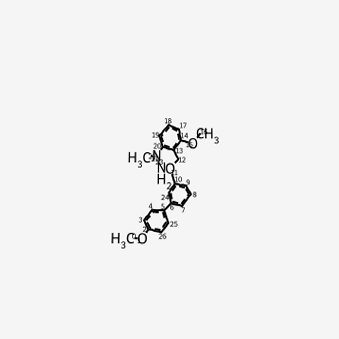 COc1ccc(-c2cccc(OCc3c(OC)cccc3N(C)N)c2)cc1